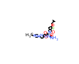 CCN1CCN(c2ccc3oc([C@@](C=O)(CN4Cc5ccc(OCC6CC6)c(F)c5C4=O)NC(N)=O)cc3n2)CC1